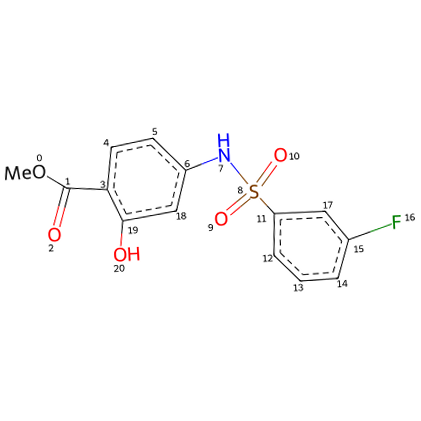 COC(=O)c1ccc(NS(=O)(=O)c2cccc(F)c2)cc1O